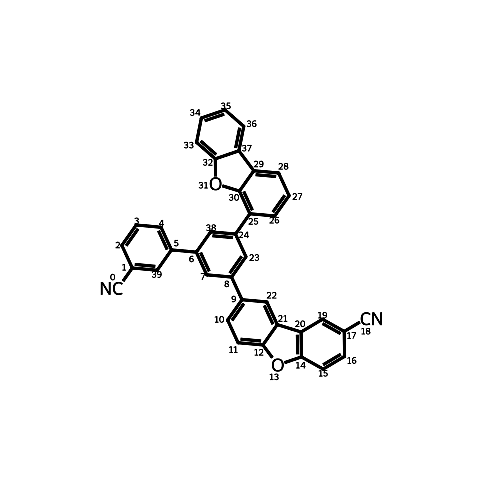 N#Cc1cccc(-c2cc(-c3ccc4oc5ccc(C#N)cc5c4c3)cc(-c3cccc4c3oc3ccccc34)c2)c1